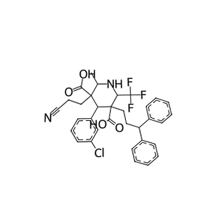 CC1NC(C(F)(F)F)C(CCC(c2ccccc2)c2ccccc2)(C(=O)O)C(c2cccc(Cl)c2)C1(CCC#N)C(=O)O